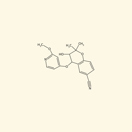 COc1cc(OC2c3cc(C#N)ccc3OC(C)(C)C2O)ccn1